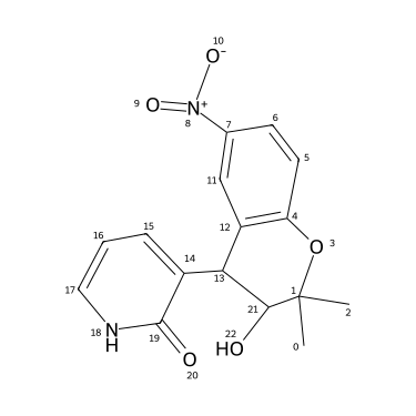 CC1(C)Oc2ccc([N+](=O)[O-])cc2C(c2ccc[nH]c2=O)C1O